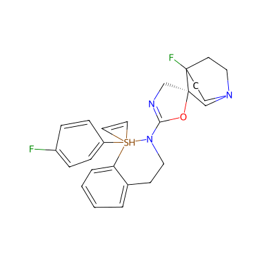 Fc1ccc([SH]23(C=C2)c2ccccc2CCN3C2=NC[C@]3(CN4CCC3(F)CC4)O2)cc1